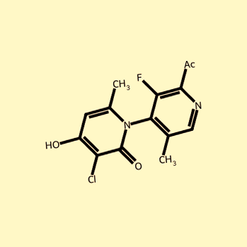 CC(=O)c1ncc(C)c(-n2c(C)cc(O)c(Cl)c2=O)c1F